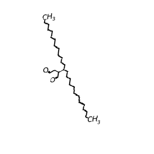 CCCCCCCCCCCCCC(CCCCCCCCCCCCC)C(C=O)CC=O